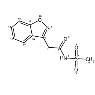 CS(=O)(=O)NC(=O)Cc1noc2ccccc12